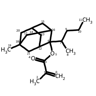 C=C(C)C(=O)OC1(C(C)CCC)C2CC3CC1CC(C)(C3)C2